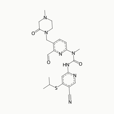 CC(C)Sc1cc(NC(=O)N(C)c2ccc(CN3CCN(C)CC3=O)c(C=O)n2)ncc1C#N